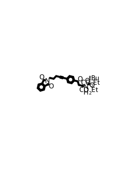 CCOC(=O)C(CC(=O)c1ccc(C#CCCCN2C(=O)c3ccccc3C2=O)cc1)(NC(=O)OC(C)(C)C)C(=O)OCC